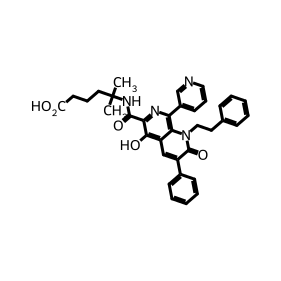 CC(C)(CCCC(=O)O)NC(=O)c1nc(-c2cccnc2)c2c(cc(-c3ccccc3)c(=O)n2CCc2ccccc2)c1O